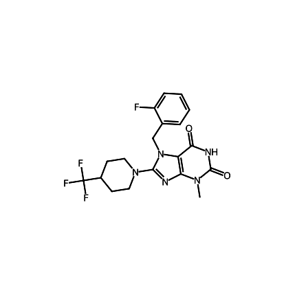 Cn1c(=O)[nH]c(=O)c2c1nc(N1CCC(C(F)(F)F)CC1)n2Cc1ccccc1F